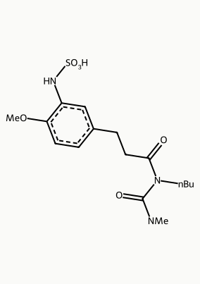 CCCCN(C(=O)CCc1ccc(OC)c(NS(=O)(=O)O)c1)C(=O)NC